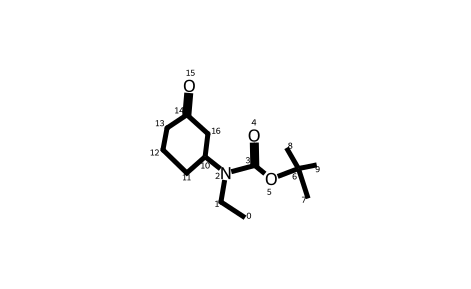 CCN(C(=O)OC(C)(C)C)C1CCCC(=O)C1